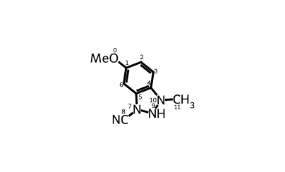 COc1ccc2c(c1)N(C#N)NN2C